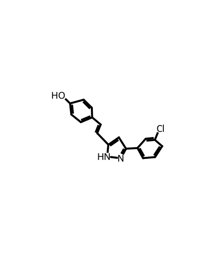 Oc1ccc(/C=C/c2cc(-c3cccc(Cl)c3)n[nH]2)cc1